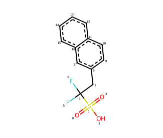 O=S(=O)(O)C(F)(F)Cc1ccc2ccccc2c1